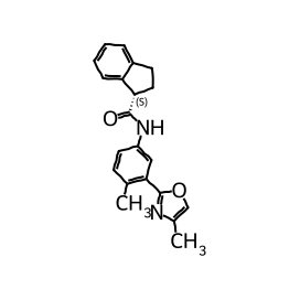 Cc1coc(-c2cc(NC(=O)[C@H]3CCc4ccccc43)ccc2C)n1